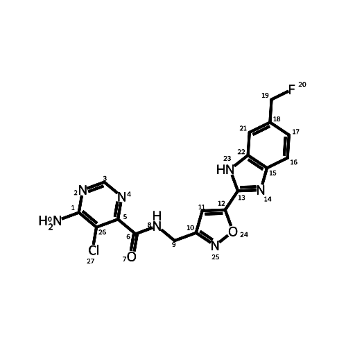 Nc1ncnc(C(=O)NCc2cc(-c3nc4ccc(CF)cc4[nH]3)on2)c1Cl